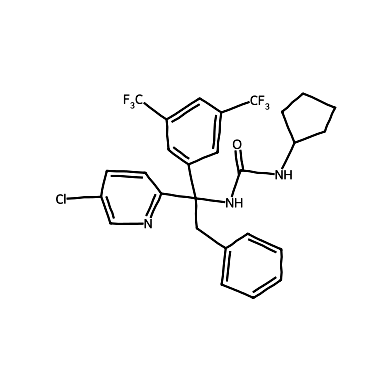 O=C(NC1CCCC1)NC(Cc1ccccc1)(c1cc(C(F)(F)F)cc(C(F)(F)F)c1)c1ccc(Cl)cn1